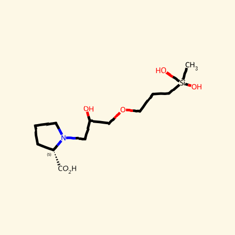 C[Si](O)(O)CCCOCC(O)CN1CCC[C@H]1C(=O)O